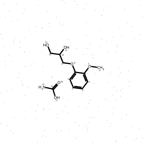 COc1ccccc1OCC(O)CO.NC(=O)O